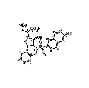 CC(C)(C)C[C@@H](C(=O)O)N1CC[C@H](N(Cc2ccccn2)S(=O)(=O)c2ccc3cc(Cl)ccc3c2)C1=O